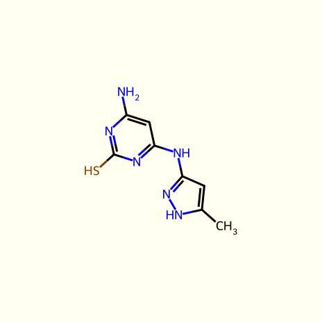 Cc1cc(Nc2cc(N)nc(S)n2)n[nH]1